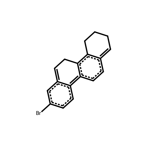 Brc1ccc2c(c1)=CCc1c3c(ccc1=2)=CCCC3